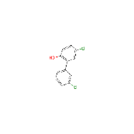 Oc1ccc(Cl)cc1-c1cccc(Cl)c1